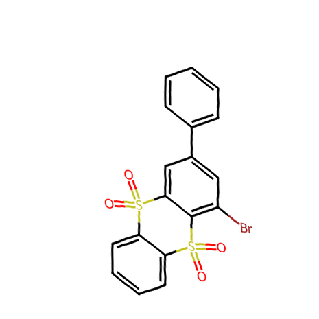 O=S1(=O)c2ccccc2S(=O)(=O)c2c(Br)cc(-c3ccccc3)cc21